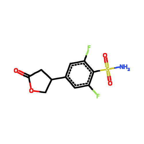 NS(=O)(=O)c1c(F)cc(C2COC(=O)C2)cc1F